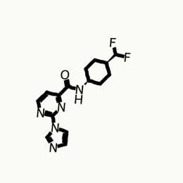 O=C(N[C@H]1CC[C@H](C(F)F)CC1)c1ccnc(-n2ccnc2)n1